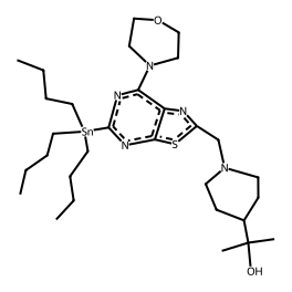 CCC[CH2][Sn]([CH2]CCC)([CH2]CCC)[c]1nc(N2CCOCC2)c2nc(CN3CCC(C(C)(C)O)CC3)sc2n1